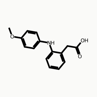 COc1ccc(Nc2ccccc2CC(=O)O)cc1